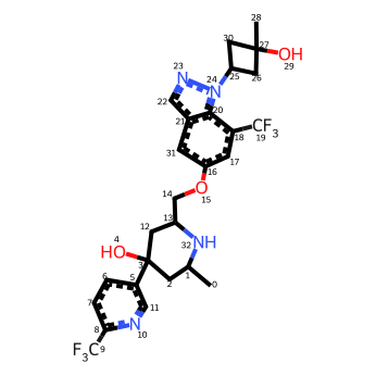 CC1CC(O)(c2ccc(C(F)(F)F)nc2)CC(COc2cc(C(F)(F)F)c3c(cnn3C3CC(C)(O)C3)c2)N1